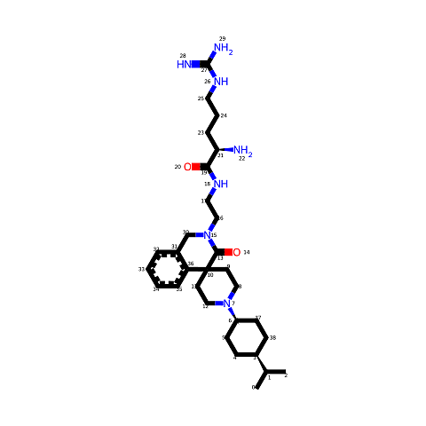 CC(C)[C@H]1CC[C@@H](N2CCC3(CC2)C(=O)N(CCNC(=O)[C@H](N)CCCNC(=N)N)Cc2ccccc23)CC1